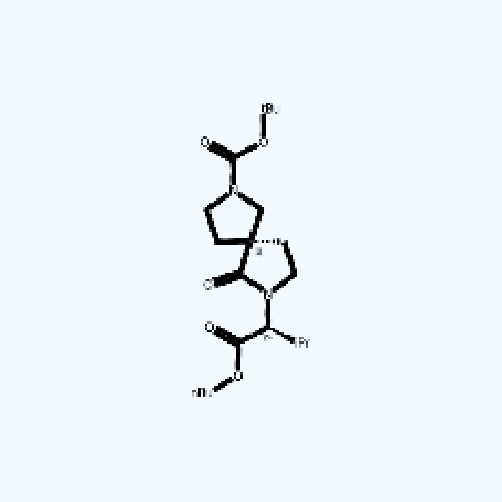 CCCCOC(=O)[C@H](C(C)C)N1CC[C@@]2(CCN(C(=O)OC(C)(C)C)C2)C1=O